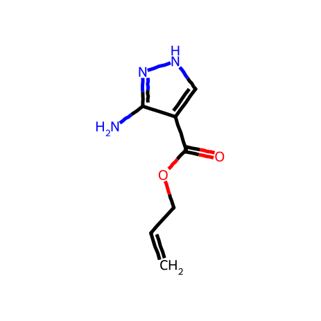 C=CCOC(=O)c1c[nH]nc1N